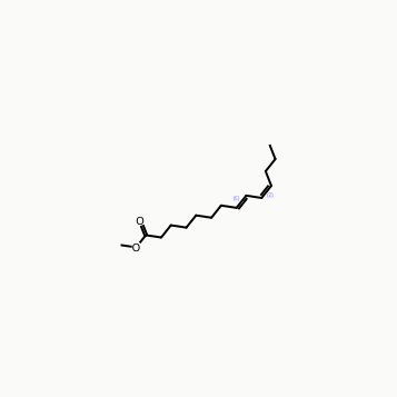 CCC/C=C\C=C\CCCCCCC(=O)OC